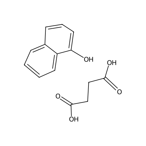 O=C(O)CCC(=O)O.Oc1cccc2ccccc12